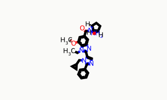 CCn1c(-c2cnc(-c3ccccc3)n2CC2CC2)nc2cc(C(=O)N3C[C@H]4CC[C@@H]3[C@@H]4N)cc(OC)c21